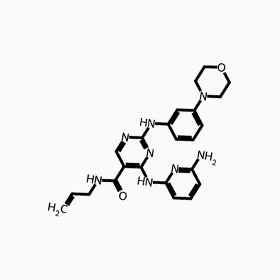 C=CCNC(=O)c1cnc(Nc2cccc(N3CCOCC3)c2)nc1Nc1cccc(N)n1